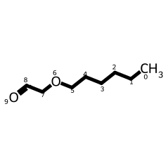 CCCCCCOC[C]=O